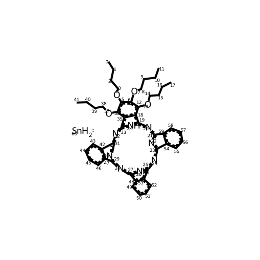 CCCCOc1c(OCCCC)c(OCCCC)c2c3nc4nc(nc5[nH]c(nc6nc(nc([nH]3)c2c1OCCCC)-c1ccccc1-6)c1ccccc51)-c1ccccc1-4.[SnH2]